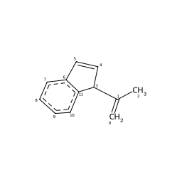 C=C(C)C1C=Cc2ccccc21